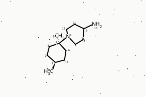 C[C@H]1CC[C@@](C)(N2CCC(N)CC2)CC1